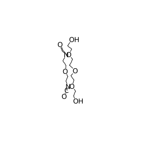 O=C=NCCOCCN=C=O.OCCOCCOCCOCCO